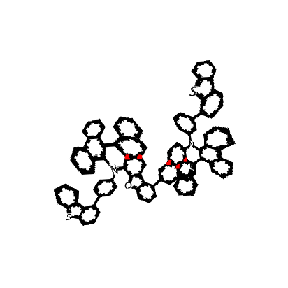 c1cc(-c2cccc3c2sc2ccccc23)cc(N(c2c(-c3ccc4cc(-c5cccc6oc7c(N(c8ccc(-c9cccc%10sc%11ccccc%11c9%10)cc8)c8c(-c9cccc%10ccccc9%10)c9ccccc9c9ccccc89)cccc7c56)ccc4c3)c3ccccc3c3ccccc23)c2cccc3c2oc2ccccc23)c1